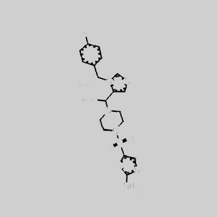 CC(c1cncn1[C@H](C)c1ccc(F)cc1)N1CCN(S(=O)(=O)c2cnc(N)s2)CC1